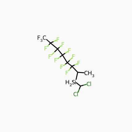 CC([SiH2]C(Cl)Cl)C(F)(F)C(F)(F)C(F)(F)C(F)(F)C(F)(F)C(F)(F)F